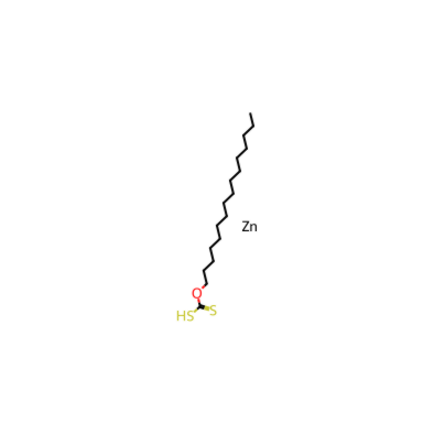 CCCCCCCCCCCCCCCCOC(=S)S.[Zn]